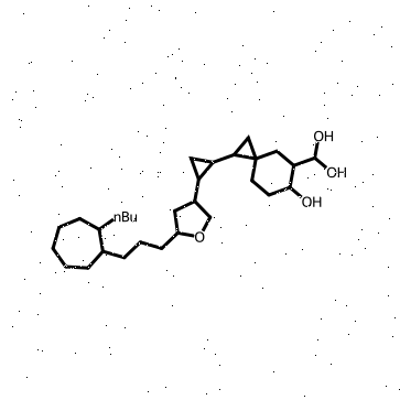 CCCCC1CCCCCC1CCCC1CC(C2CC2C2CC23CCC(O)C(C(O)O)C3)CO1